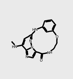 CNc1cc2nn3c(cnc13)C(=O)NCCOc1cccc(c1)N2